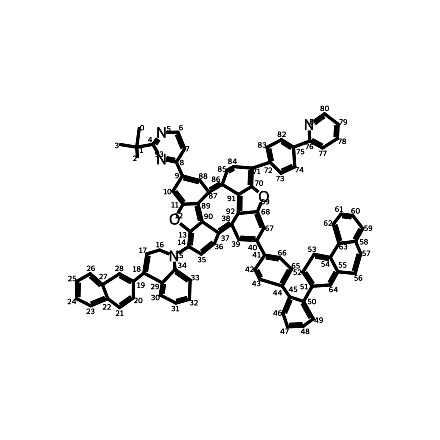 CC(C)(C)c1nccc(-c2cc3oc4c(N5CC=C(c6ccc7ccccc7c6)c6ccccc65)ccc5c6cc(-c7ccc(-c8ccccc8-c8ccc9c(ccc%10ccccc%109)c8)cc7)cc7oc8c(-c9ccc(-c%10ccccn%10)cc9)ccc(c(c2)c3c45)c8c76)n1